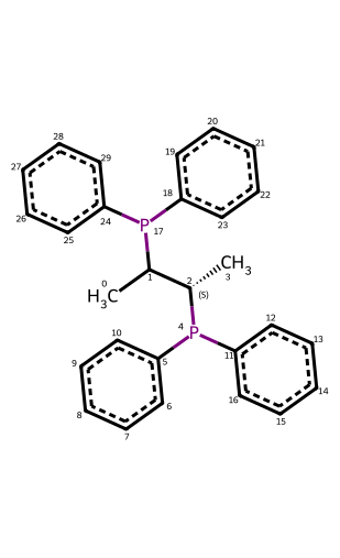 CC([C@H](C)P(c1ccccc1)c1ccccc1)P(c1ccccc1)c1ccccc1